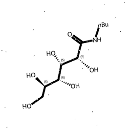 CCCCNC(=O)[C@H](O)[C@@H](O)[C@H](O)[C@H](O)CO